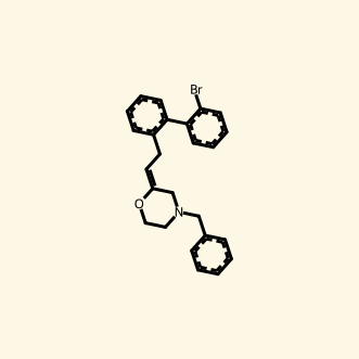 Brc1ccccc1-c1ccccc1C/C=C1\CN(Cc2ccccc2)CCO1